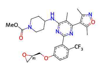 COC(=O)N1CCC(Nc2nc(-c3cc(OC[C@H]4CO4)ccc3C(F)(F)F)nc(-c3c(C)noc3C)c2C)CC1